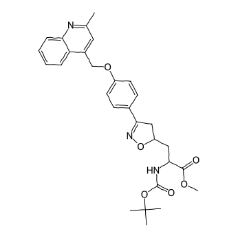 COC(=O)C(CC1CC(c2ccc(OCc3cc(C)nc4ccccc34)cc2)=NO1)NC(=O)OC(C)(C)C